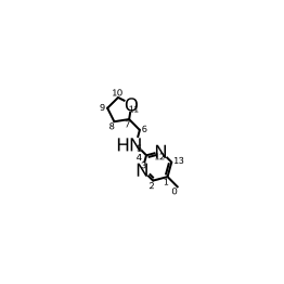 Cc1cnc(NCC2CCCO2)nc1